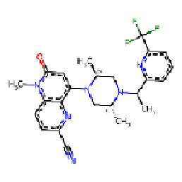 CC(c1cccc(C(F)(F)F)n1)N1C[C@H](C)N(c2cc(=O)n(C)c3ccc(C#N)nc23)C[C@H]1C